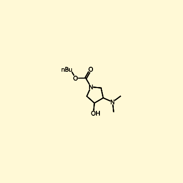 CCCCOC(=O)N1CC(O)C(N(C)C)C1